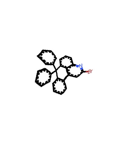 Brc1cc2c3c(cccc3n1)C(c1ccccc1)(c1ccccc1)c1ccccc1-2